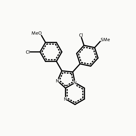 COc1ccc(-c2nc3ncccn3c2-c2ccc(SC)c(Cl)c2)cc1Cl